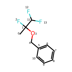 CC(F)(OCc1ccccc1)[C](F)F